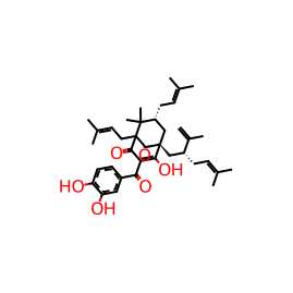 C=C(C)[C@H](CC=C(C)C)C[C@@]12C[C@@H](CC=C(C)C)C(C)(C)C(CC=C(C)C)(C(=O)C(C(=O)c3ccc(O)c(O)c3)=C1O)C2=O